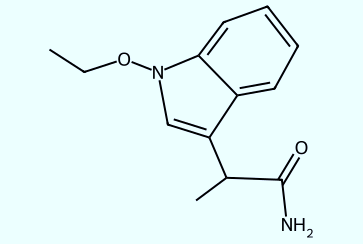 CCOn1cc(C(C)C(N)=O)c2ccccc21